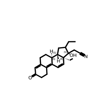 CCC1C[C@H]2[C@@H]3CCC4=CC(=O)CCC4=C3C=C[C@]2(CC)[C@]1(O)CC#N